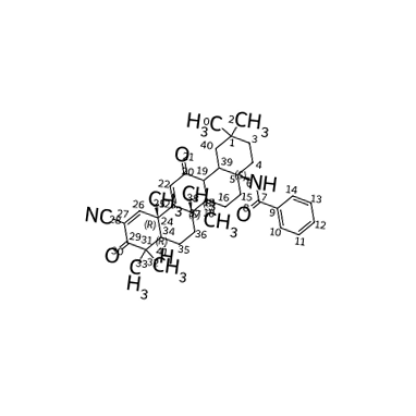 CC1(C)CC[C@]2(NC(=O)c3ccccc3)CC[C@]3(C)C(C(=O)C=C4[C@@]5(C)C=C(C#N)C(=O)C(C)(C)[C@@H]5CC[C@]43C)C2C1